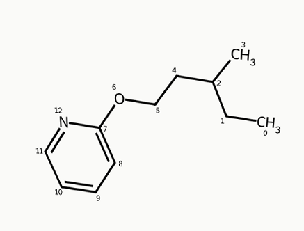 CCC(C)CCOc1ccccn1